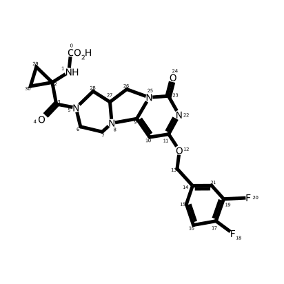 O=C(O)NC1(C(=O)N2CCN3c4cc(OCc5ccc(F)c(F)c5)nc(=O)n4CC3C2)CC1